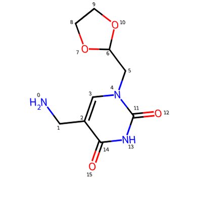 NCc1cn(CC2OCCO2)c(=O)[nH]c1=O